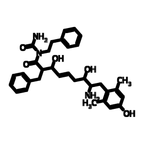 Cc1cc(O)cc(C)c1CC(N)C(O)CC=CC(O)C(Cc1ccccc1)C(=O)N(CCc1ccccc1)C(N)=O